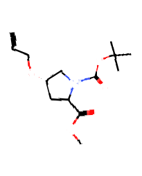 C=CCO[C@H]1CC(C(=O)OC)N(C(=O)OC(C)(C)C)C1